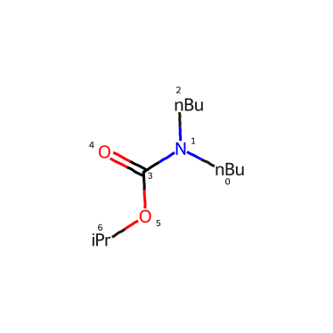 CCCCN(CCCC)C(=O)OC(C)C